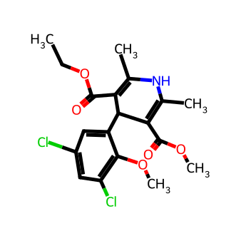 CCOC(=O)C1=C(C)NC(C)=C(C(=O)OC)C1c1cc(Cl)cc(Cl)c1OC